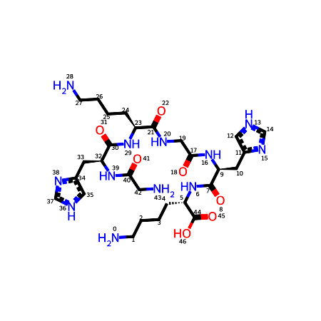 NCCCC[C@H](NC(=O)[C@H](Cc1c[nH]cn1)NC(=O)CNC(=O)[C@H](CCCCN)NC(=O)[C@H](Cc1c[nH]cn1)NC(=O)CN)C(=O)O